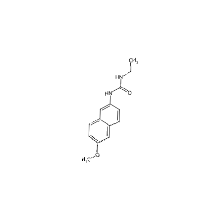 CCNC(=O)Nc1ccc2cc(OC)ccc2c1